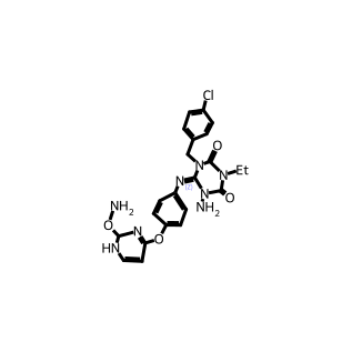 CCn1c(=O)n(N)/c(=N\c2ccc(OC3=NC(ON)NC=C3)cc2)n(Cc2ccc(Cl)cc2)c1=O